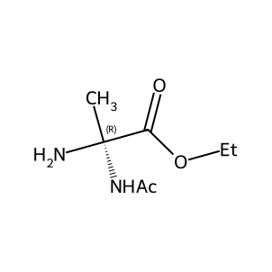 CCOC(=O)[C@](C)(N)NC(C)=O